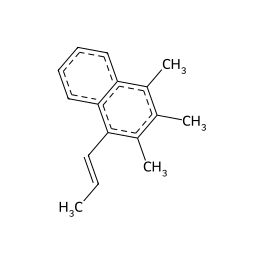 C/C=C/c1c(C)c(C)c(C)c2ccccc12